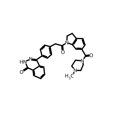 CN1CCN(C(=O)c2ccc3c(c2)N(C(=O)Cc2ccc(-c4n[nH]c(=O)c5ccccc45)cc2)CC3)CC1